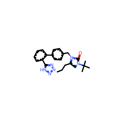 CCCc1cn(C(C)(C)C)c(=O)n1Cc1ccc(-c2ccccc2-c2nnn[nH]2)cc1